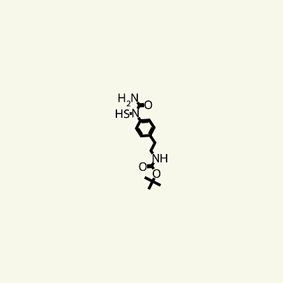 CC(C)(C)OC(=O)NCCc1ccc(N(S)C(N)=O)cc1